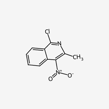 Cc1nc(Cl)c2ccccc2c1[N+](=O)[O-]